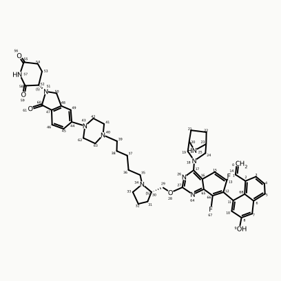 C=Cc1cccc2cc(O)cc(-c3c(F)cc4c(N5CC6CCC(C5)N6)nc(OC[C@@H]5CCCN5CCCCCN5CCN(c6ccc7c(c6)CN([C@H]6CCC(=O)NC6=O)C7=O)CC5)nc4c3F)c12